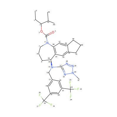 CCC(OC(=O)N1CCC[C@H](N(Cc2cc(C(F)(F)F)cc(C(F)(F)F)c2)c2nnn(C)n2)c2cc3c(cc21)CCC3)C(C)C